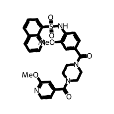 COc1cc(C(=O)N2CCN(C(=O)c3ccc(NS(=O)(=O)c4cccc5cccnc45)c(OC)c3)CC2)ccn1